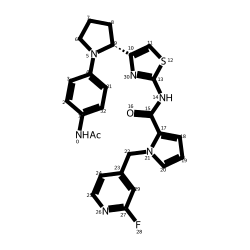 CC(=O)Nc1ccc(N2CCC[C@@H]2c2csc(NC(=O)c3cccn3Cc3ccnc(F)c3)n2)cc1